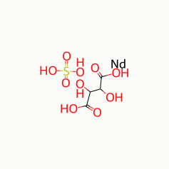 O=C(O)C(O)C(O)C(=O)O.O=S(=O)(O)O.[Nd]